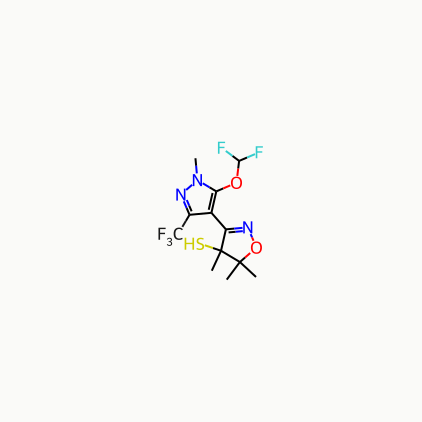 Cn1nc(C(F)(F)F)c(C2=NOC(C)(C)C2(C)S)c1OC(F)F